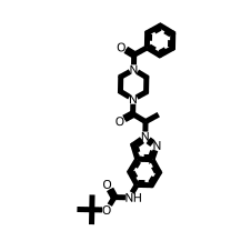 CC(C(=O)N1CCN(C(=O)c2ccccc2)CC1)n1cc2cc(NC(=O)OC(C)(C)C)ccc2n1